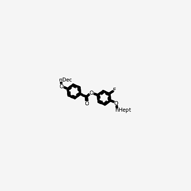 CCCCCCCCCCOc1ccc(C(=O)Oc2ccc(OCCCCCCC)c(F)c2)cc1